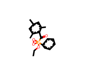 CCOP1(C(=O)c2c(C)cc(C)cc2C)(c2ccccc2)OO1